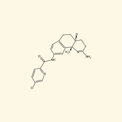 C[C@]12N=C(N)SC[C@H]1CCc1ccc(NC(=O)c3ccc(Cl)cn3)cc12